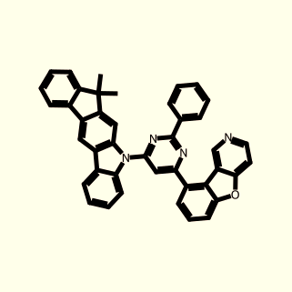 CC1(C)c2ccccc2-c2cc3c4ccccc4n(-c4cc(-c5cccc6oc7ccncc7c56)nc(-c5ccccc5)n4)c3cc21